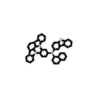 c1ccc2c(N(c3ccc4oc5ccccc5c4c3)c3ccc4c(c3)n3c5ccccc5c5ccc6c7ccccc7n4c6c53)cccc2c1